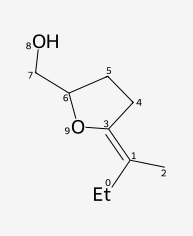 CCC(C)=C1CCC(CO)O1